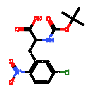 CC(C)(C)OC(=O)NC(Cc1cc(Cl)ccc1[N+](=O)[O-])C(=O)O